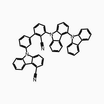 N#Cc1c(-c2cccc(-n3c4ccccc4c4c(C#N)cccc43)c2)cccc1-n1c2ccccc2c2c(-n3c4ccccc4c4ccccc43)cccc21